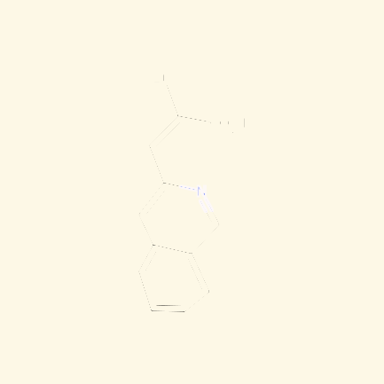 CCC(=Cc1cc2ccccc2cn1)C(=O)O